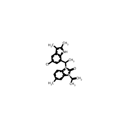 C=C(C)n1c(=O)n(C(C)c2cc(Cl)cc3c(C)c(C)[nH]c23)c2ccc(C)cc21